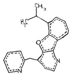 CC(C)c1cccc2c1oc1c(-c3ccccn3)ccnc12